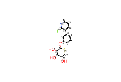 O[C@@H]1[C@@H](O)[C@H](Oc2cccc(-c3cccnc3F)c2)SC[C@H]1O